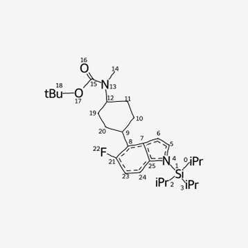 CC(C)[Si](C(C)C)(C(C)C)n1ccc2c(C3CCC(N(C)C(=O)OC(C)(C)C)CC3)c(F)ccc21